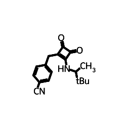 CC(Nc1c(Cc2ccc(C#N)cc2)c(=O)c1=O)C(C)(C)C